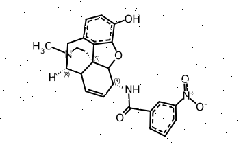 CN1CC[C@]23c4c5ccc(O)c4OC2[C@H](NC(=O)c2cccc([N+](=O)[O-])c2)C=CC3[C@H]1C5